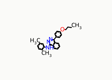 CCCCOc1ccc(-c2nnc(Nc3cc(C)ccc3C)c3ccccc23)cc1